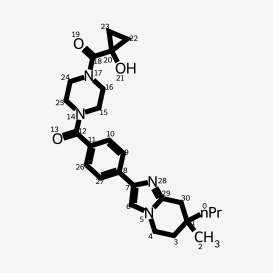 CCCC1(C)CCn2cc(-c3ccc(C(=O)N4CCN(C(=O)C5(O)CC5)CC4)cc3)nc2C1